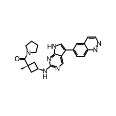 C[C@]1(C(=O)N2CCCC2)C[C@H](Nc2ncc3c(-c4ccc5nnccc5c4)c[nH]c3n2)C1